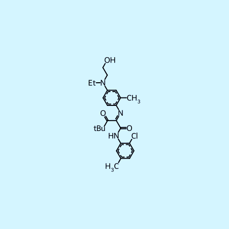 CCN(CCO)c1ccc(N=C(C(=O)Nc2cc(C)ccc2Cl)C(=O)C(C)(C)C)c(C)c1